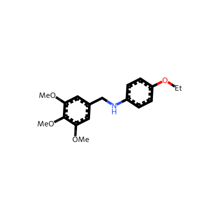 CCOc1ccc(NCc2cc(OC)c(OC)c(OC)c2)cc1